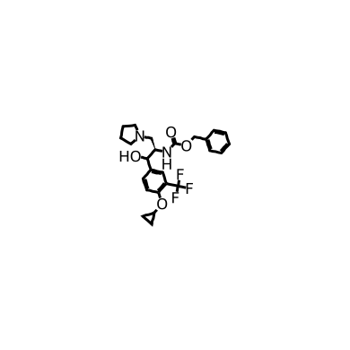 O=C(N[C@H](CN1CCCC1)C(O)c1ccc(OC2CC2)c(C(F)(F)F)c1)OCc1ccccc1